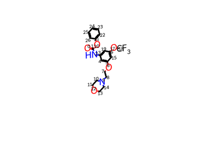 O=C(Nc1cc(OCCN2CCOCC2)cc(OC(F)(F)F)c1)Oc1ccccc1